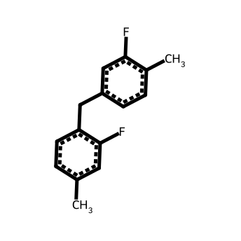 Cc1ccc(Cc2ccc(C)c(F)c2)c(F)c1